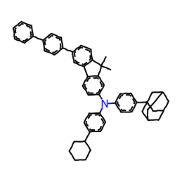 CC1(C)c2ccc(-c3ccc(-c4ccccc4)cc3)cc2-c2ccc(N(c3ccc(C4CCCCC4)cc3)c3ccc(C45CC6CC(CC(C6)C4)C5)cc3)cc21